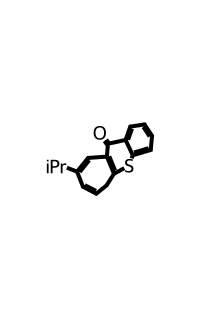 CC(C)C1=Cc2c(sc3ccccc3c2=O)CC=C1